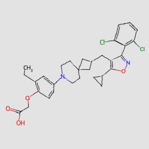 CCc1cc(N2CCC3(CC2)CC(Cc2c(-c4c(Cl)cccc4Cl)noc2C2CC2)C3)ccc1OCC(=O)O